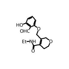 CCNC(=O)C1=C(COc2cccc(O)c2C=O)COCC1